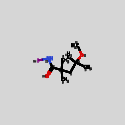 COC(C)(C)CC(C)(C)C(=O)NI